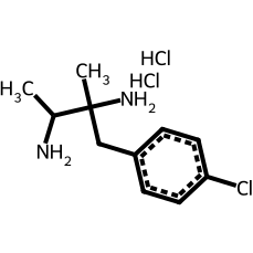 CC(N)C(C)(N)Cc1ccc(Cl)cc1.Cl.Cl